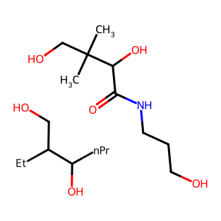 CC(C)(CO)C(O)C(=O)NCCCO.CCCC(O)C(CC)CO